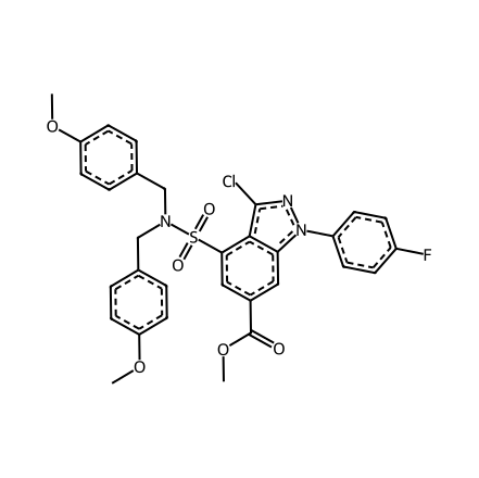 COC(=O)c1cc(S(=O)(=O)N(Cc2ccc(OC)cc2)Cc2ccc(OC)cc2)c2c(Cl)nn(-c3ccc(F)cc3)c2c1